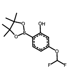 CC1(C)OB(c2ccc(OC(F)F)cc2O)OC1(C)C